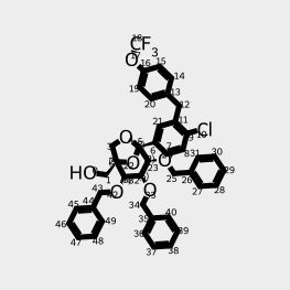 OC[C@@]12CO[C@@](c3ccc(Cl)c(Cc4ccc(OC(F)(F)F)cc4)c3)(O1)[C@H](OCc1ccccc1)[C@@H](OCc1ccccc1)[C@@H]2OCc1ccccc1